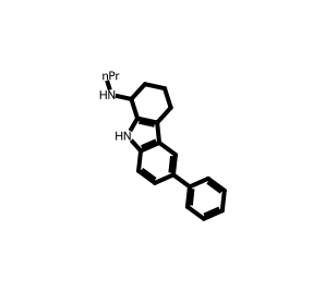 CCCNC1CCCc2c1[nH]c1ccc(-c3ccccc3)cc21